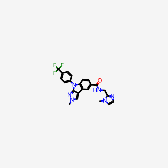 Cn1cc2c3cc(C(=O)NCc4nccn4C)ccc3n(-c3ccc(C(F)(F)F)cc3)c2n1